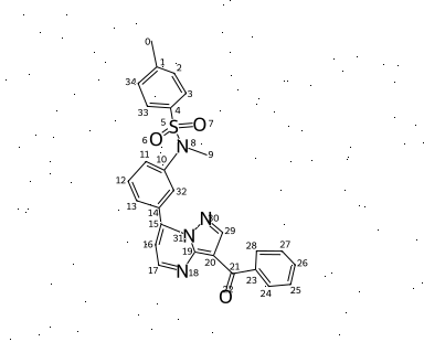 Cc1ccc(S(=O)(=O)N(C)c2cccc(-c3ccnc4c(C(=O)c5ccccc5)cnn34)c2)cc1